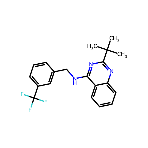 CC(C)(C)c1nc(NCc2cccc(C(F)(F)F)c2)c2ccccc2n1